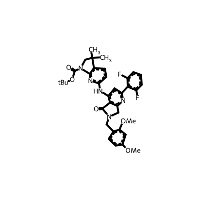 COc1ccc(CN2Cc3nc(-c4c(F)cccc4F)cc(Nc4ccc5c(n4)N(C(=O)OC(C)(C)C)CC5(C)C)c3C2=O)c(OC)c1